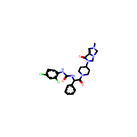 CN1C=C2C(=O)N(C3CCN(C(=O)C(NC(=O)Nc4ccc(Cl)cc4Cl)c4ccccc4)CC3)CN2C1